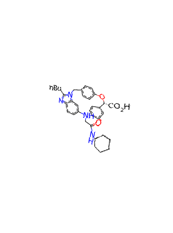 CCCCc1nc2ccc(NCC(=O)NC3CCCCC3)cc2n1Cc1ccc(OC(C(=O)O)c2ccccc2)cc1